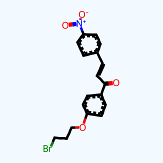 O=C(C=Cc1ccc([N+](=O)[O-])cc1)c1ccc(OCCCBr)cc1